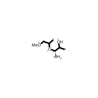 B[C@H](OC(C)COC)C(C)O